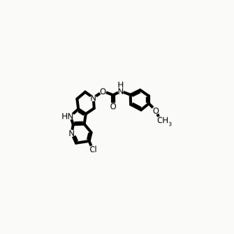 COc1ccc(NC(=O)ON2CCc3[nH]c4ncc(Cl)cc4c3C2)cc1